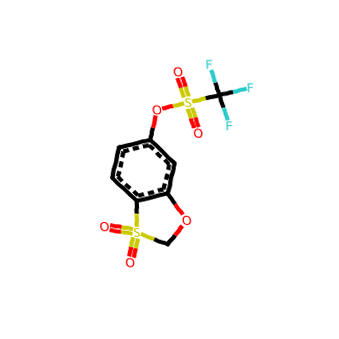 O=S1(=O)COc2cc(OS(=O)(=O)C(F)(F)F)ccc21